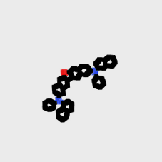 c1ccc(N(c2ccc3ccccc3c2)c2ccc3cc4oc5cc6ccc(N(c7ccccc7)c7cccc8ccccc78)cc6cc5c4cc3c2)cc1